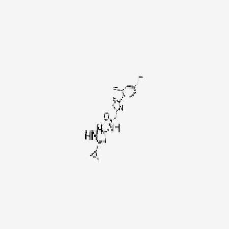 O=C(Cc1csc(-c2ccc(F)cc2F)n1)Nc1cc(C2CC2)[nH]n1